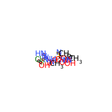 Cc1cc(C(C(=O)N2C[C@H](O)C[C@H]2C(=O)NCc2ccc(-c3scnc3C)cc2OCCOCCN(C)C(=O)CCNc2nc(N3CCNCC3)c3cc(Cl)c(-c4cc(O)cc5ccccc45)c(F)c3n2)C(C)C)on1